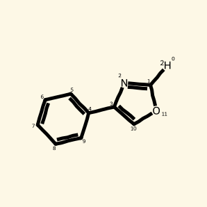 [2H]c1nc(-c2ccccc2)co1